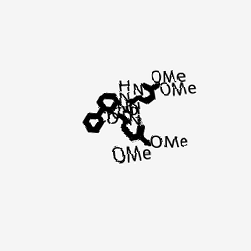 COC(OC)c1ccc(C(=O)NC2(NC(=O)c3ccc(C(OC)OC)cn3)C=CC=C(c3ccccc3)C2(C)Cl)nc1